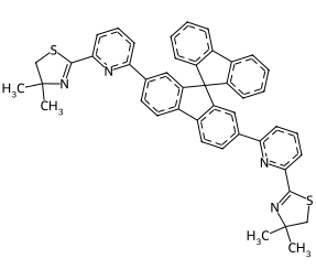 CC1(C)CSC(c2cccc(-c3ccc4c(c3)C3(c5ccccc5-c5ccccc53)c3cc(-c5cccc(C6=NC(C)(C)CS6)n5)ccc3-4)n2)=N1